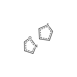 c1ccsc1.c1cnoc1